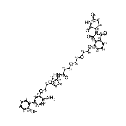 Nc1nnc(-c2ccccc2O)cc1OCCC1CC2(NC(=O)CCOCCOCCOc3cccc4c3C(=O)N(C3CCC(=O)NC3=O)C4=O)CC1C2